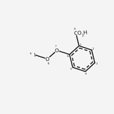 O=C(O)c1ccccc1OOI